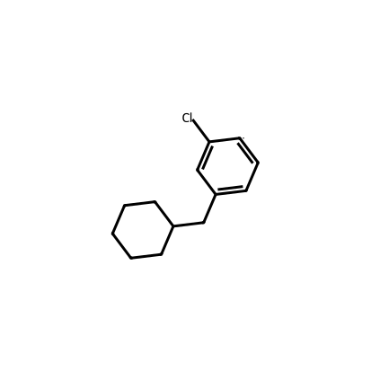 Clc1[c]ccc(CC2CCCCC2)c1